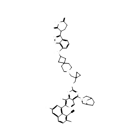 C#Cc1c(F)ccc2cc(O)cc(-c3ncc4c(N5CC6CCC(C5)N6)nc(OCC5(CN6CCC7(CC6)CC(Nc6cccc8c(C9CCC(=O)NC9=O)n[nH]c68)C7)CC5)nc4c3F)c12